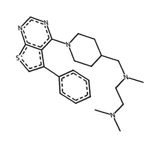 CN(C)CCN(C)CC1CCN(c2ncnc3scc(-c4ccccc4)c23)CC1